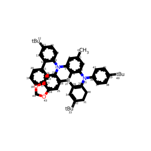 Cc1cc2c3c(c1)N(c1ccc(C(C)(C)C)cc1-c1ccccc1)c1cc4c(cc1B3C1=C(CCC(C(C)(C)C)=C1)N2c1ccc(C(C)(C)C)cc1)OCO4